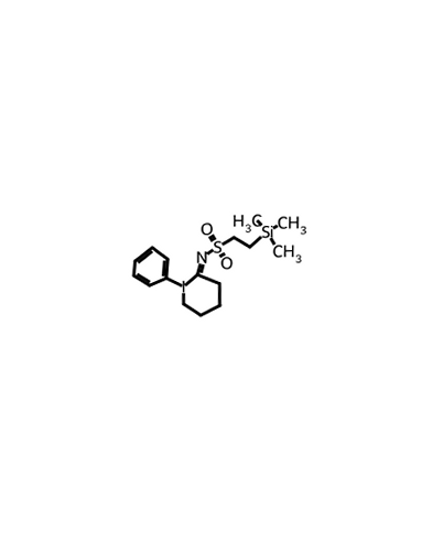 C[Si](C)(C)CCS(=O)(=O)N=C1CCCCI1c1ccccc1